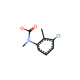 Cc1c(Cl)cccc1N(C)C([O])=O